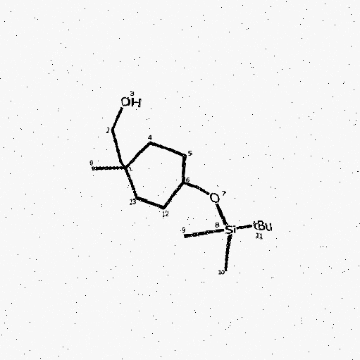 CC1(CO)CCC(O[Si](C)(C)C(C)(C)C)CC1